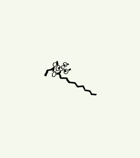 C=CC(=O)OC(CCCCCCCCCC)[Si](OC)(OC)OC